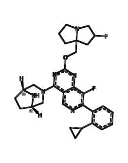 Fc1c(-c2ccccc2C2CC2)ncc2c(N3C[C@H]4CC[C@@H](C3)N4)nc(OCC34CCCN3CC(F)C4)nc12